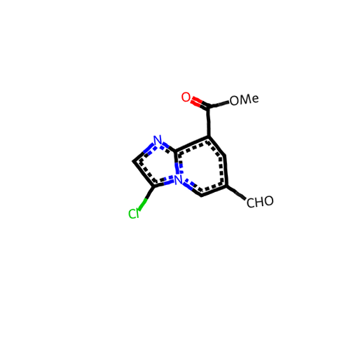 COC(=O)c1cc(C=O)cn2c(Cl)cnc12